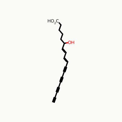 C#CC#CC#CC#CC=CC=CC(O)CCCCC(=O)O